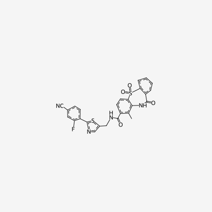 Cc1c(C(=O)NCc2cnc(-c3ccc(C#N)cc3F)s2)ccc2c1NC(=O)c1ccccc1S2(=O)=O